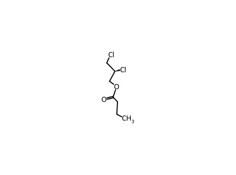 CCCC(=O)OC[C@H](Cl)CCl